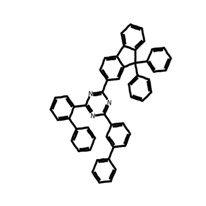 c1ccc(-c2cccc(-c3nc(-c4ccc5c(c4)C(c4ccccc4)(c4ccccc4)c4ccccc4-5)nc(-c4ccccc4-c4ccccc4)n3)c2)cc1